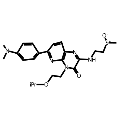 CC(C)OCCn1c(=O)c(NCC[S+](C)[O-])nc2ccc(-c3ccc(N(C)C)cc3)nc21